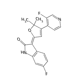 CC1(C)OC(=C2C(=O)Nc3cc(F)ccc32)C=C1c1ccncc1F